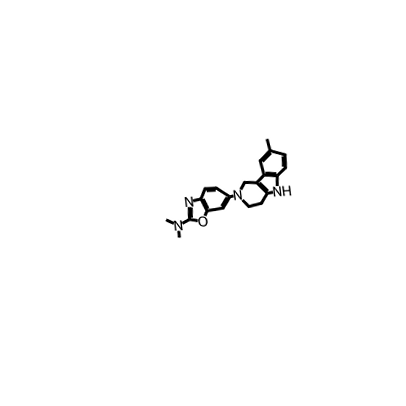 Cc1ccc2[nH]c3c(c2c1)CN(c1ccc2nc(N(C)C)oc2c1)CC3